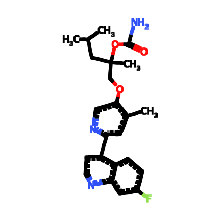 Cc1cc(-c2ccnc3cc(F)ccc23)ncc1OCC(C)(CC(C)C)OC(N)=O